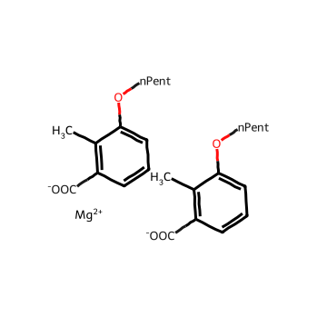 CCCCCOc1cccc(C(=O)[O-])c1C.CCCCCOc1cccc(C(=O)[O-])c1C.[Mg+2]